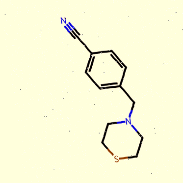 N#Cc1ccc(CN2CCSCC2)cc1